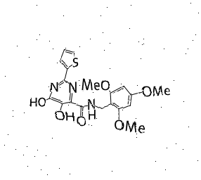 COc1cc(OC)c(CNC(=O)c2nc(-c3cccs3)nc(O)c2O)c(OC)c1